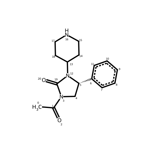 CC(=O)N1C[C@@H](c2ccccc2)N(C2CCNCC2)C1=O